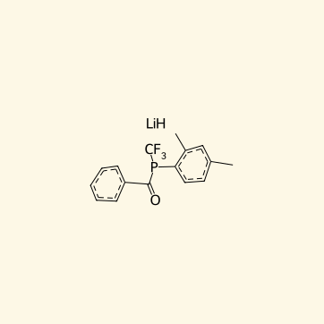 Cc1ccc(P(C(=O)c2ccccc2)C(F)(F)F)c(C)c1.[LiH]